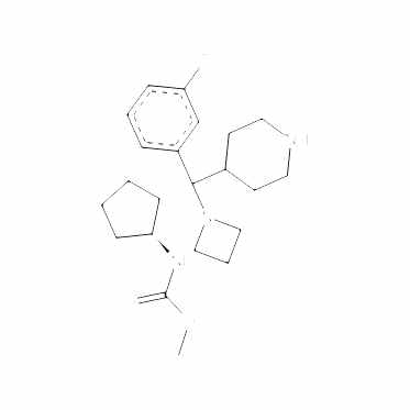 COC(=O)N[C@H]1CCC[C@@H]1C(c1cccc(F)c1)(C1CCNCC1)N1CCC1